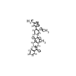 COc1cc(C(=O)C(=O)N2CCN(C(=O)c3ccccc3)C[C@H]2C)ccc1-c1cc(C)no1